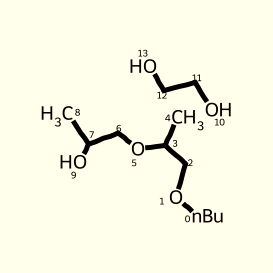 CCCCOCC(C)OCC(C)O.OCCO